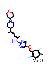 COC1=CC(C)=C(F)CC(COc2cnc(N/C(C)=C/C=C(\C)C3CCN(C4CCOCC4)CC3)nc2)=C1F